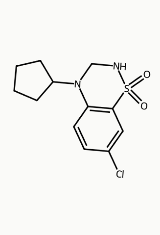 O=S1(=O)NCN(C2CCCC2)c2ccc(Cl)cc21